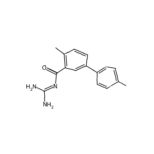 Cc1ccc(-c2ccc(C)c(C(=O)N=C(N)N)c2)cc1